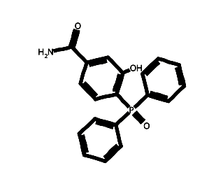 NC(=O)c1ccc(P(=O)(c2ccccc2)c2ccccc2)c(O)c1